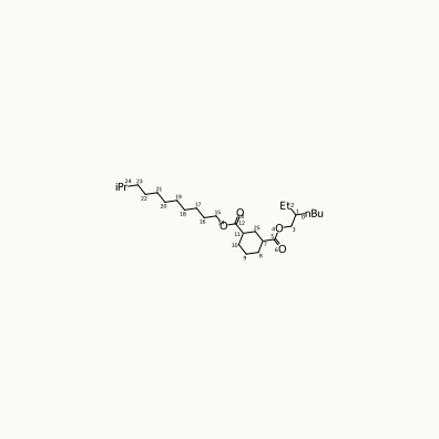 CCCCC(CC)COC(=O)C1CCCC(C(=O)OCCCCCCCCCC(C)C)C1